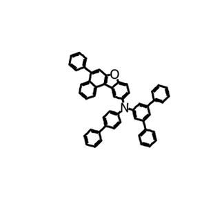 c1ccc(-c2ccc(N(c3cc(-c4ccccc4)cc(-c4ccccc4)c3)c3ccc4oc5cc(-c6ccccc6)c6ccccc6c5c4c3)cc2)cc1